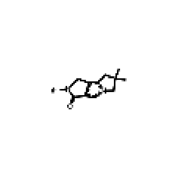 CC(C)N1Cc2c(cn3c2CC(C)(C)C3)C1=O